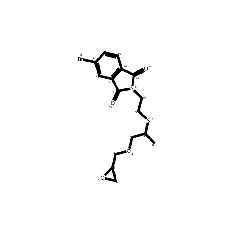 CC(COCC1CO1)SCCN1C(=O)c2ccc(Br)cc2C1=O